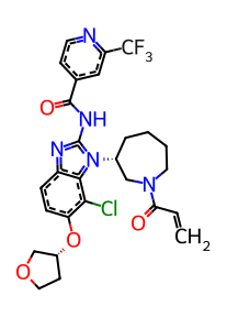 C=CC(=O)N1CCCC[C@@H](n2c(NC(=O)c3ccnc(C(F)(F)F)c3)nc3ccc(O[C@@H]4CCOC4)c(Cl)c32)C1